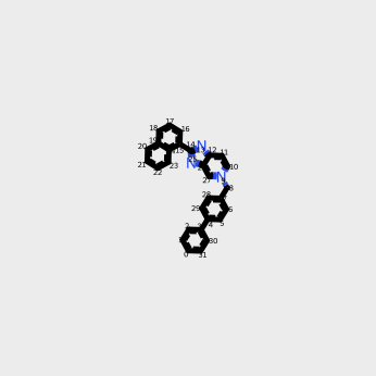 c1ccc(-c2ccc(Cn3ccc4nc(-c5cccc6ccccc56)nc-4c3)cc2)cc1